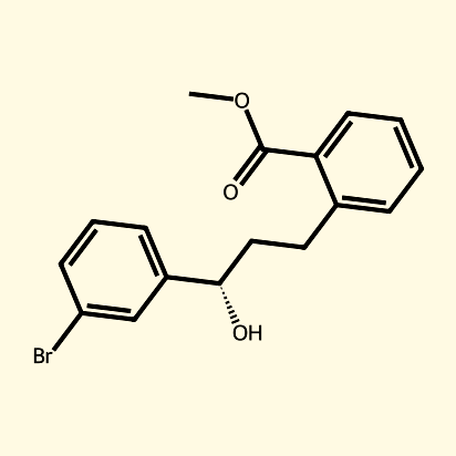 COC(=O)c1ccccc1CC[C@H](O)c1cccc(Br)c1